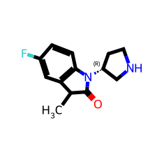 CC1C(=O)N([C@@H]2CCNC2)c2ccc(F)cc21